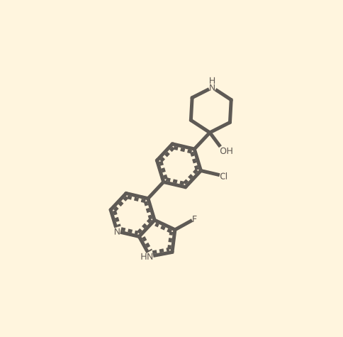 OC1(c2ccc(-c3ccnc4[nH]cc(F)c34)cc2Cl)CCNCC1